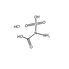 Cl.NN(C(=O)O)S(=O)(=O)O